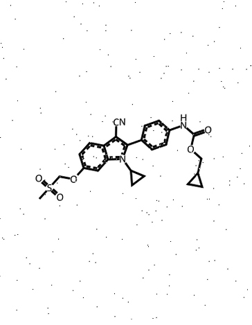 CS(=O)(=O)COc1ccc2c(C#N)c(-c3ccc(NC(=O)OCC4CC4)cc3)n(C3CC3)c2c1